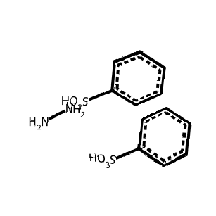 NN.O=S(=O)(O)c1ccccc1.O=S(=O)(O)c1ccccc1